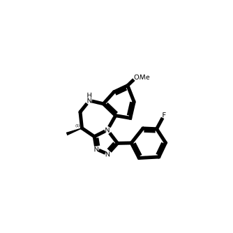 COc1ccc2c(c1)NC[C@H](C)c1nnc(-c3cccc(F)c3)n1-2